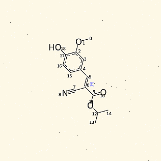 COc1cc(/C=C(\C#N)C(=O)OC(C)C)ccc1O